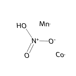 O=[N+]([O-])O.[Co].[Mn]